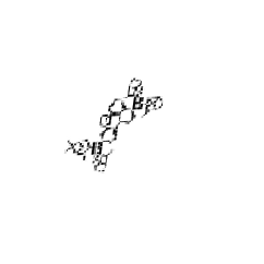 CC1C(B(c2ccc3c(c2)Oc2cccc4c(B(C5CC6CC(C5C)C6(C)C)C5CC6CC(C5C)C6(C)C)ccc-3c24)C2CC3CC(C2C)C3(C)C)CC2CC1C2(C)C